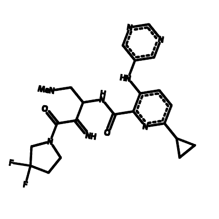 CNCC(NC(=O)c1nc(C2CC2)ccc1Nc1cncnc1)C(=N)C(=O)N1CCC(F)(F)C1